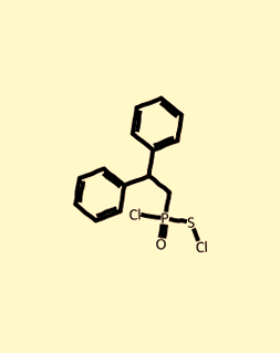 O=P(Cl)(CC(c1ccccc1)c1ccccc1)SCl